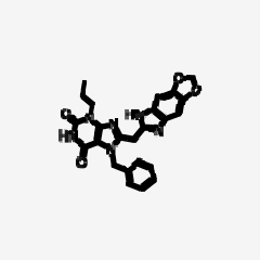 CCCn1c(=O)[nH]c(=O)c2c1nc(Cc1nc3cc4c(cc3[nH]1)OCO4)n2Cc1ccccc1